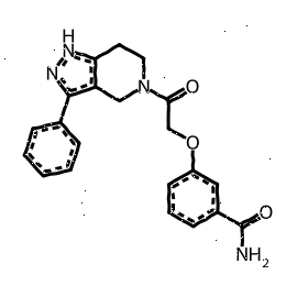 NC(=O)c1cccc(OCC(=O)N2CCc3[nH]nc(-c4ccccc4)c3C2)c1